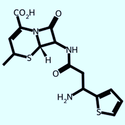 CC1C=C(C(=O)O)N2C(=O)C(NC(=O)CC(N)c3cccs3)[C@@H]2S1